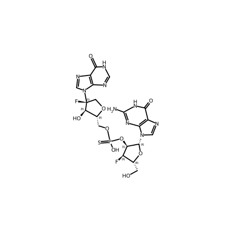 Nc1nc2c(ncn2[C@@H]2O[C@H](CO)[C@@H](F)[C@H]2OP(O)(=S)OC[C@H]2OC[C@@](F)(n3cnc4c(=O)[nH]cnc43)[C@@H]2O)c(=O)[nH]1